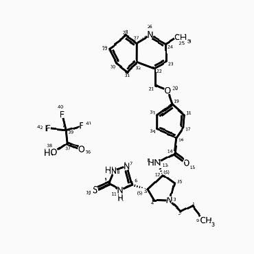 CCCN1C[C@H](c2n[nH]c(=S)[nH]2)[C@H](NC(=O)c2ccc(OCc3cc(C)nc4ccccc34)cc2)C1.O=C(O)C(F)(F)F